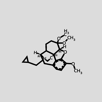 COc1ccc2c3c1O[C@H]1C(OC)(OC)CCC4[C@@H](C2)N(CC2CC2)CC[C@@]341